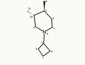 C[C@H]1CCN(C2CCC2)C[C@@H]1C